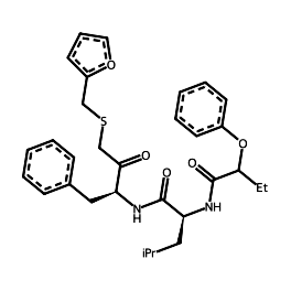 CCC(Oc1ccccc1)C(=O)N[C@@H](CC(C)C)C(=O)N[C@@H](Cc1ccccc1)C(=O)CSCc1ccco1